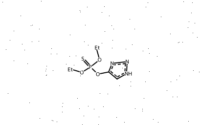 CCOP(=S)(OCC)Oc1c[nH]nn1